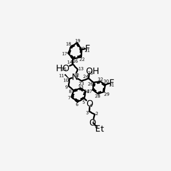 CCOCCOc1ccc(C[C@@H](C)N(CC(O)c2cccc(F)c2)CC(O)c2cccc(F)c2)cc1